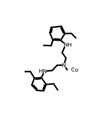 CCc1cccc(CC)c1NCCN(C)CCNc1c(CC)cccc1CC.[Co]